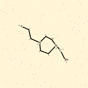 C[C](C)CN1CCN(CCF)CC1